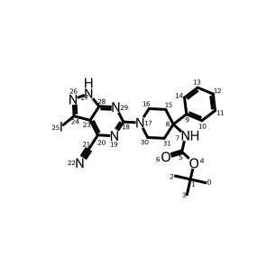 CC(C)(C)OC(=O)NC1(c2ccccc2)CCN(c2nc(C#N)c3c(I)n[nH]c3n2)CC1